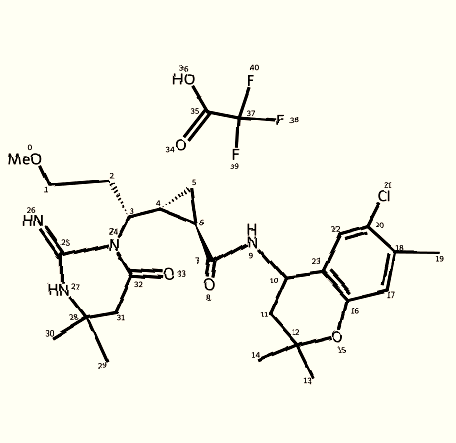 COCC[C@H]([C@@H]1C[C@H]1C(=O)NC1CC(C)(C)Oc2cc(C)c(Cl)cc21)N1C(=N)NC(C)(C)CC1=O.O=C(O)C(F)(F)F